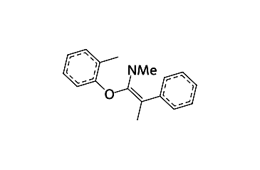 CNC(Oc1ccccc1C)=C(C)c1ccccc1